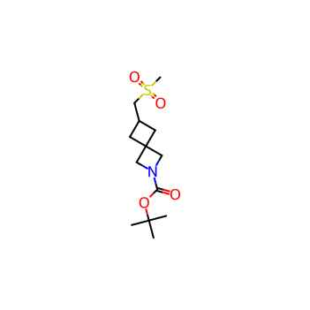 CC(C)(C)OC(=O)N1CC2(CC(CS(C)(=O)=O)C2)C1